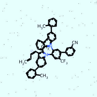 C=C/C=C\c1c(C)n(-c2cc(C(F)(F)F)c(-c3cccc(C#N)c3)cc2-n2c3ccccc3c3cc(-c4ccccc4C)ccc32)c2ccc(-c3ccccc3C)cc12